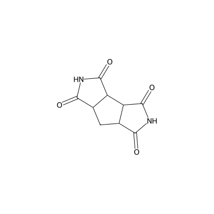 O=C1NC(=O)C2C1CC1C(=O)NC(=O)C12